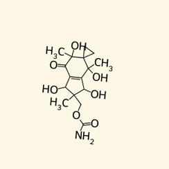 CC1(COC(N)=O)C(O)C2=C(C1O)C(C)(O)C1(CC1)C(C)(O)C2=O